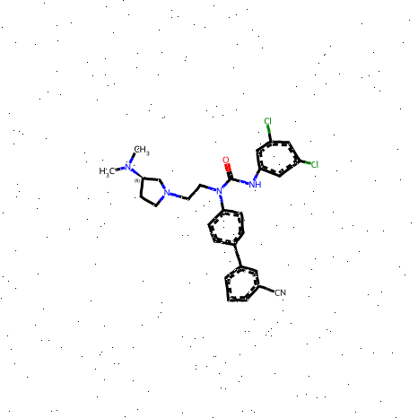 CN(C)[C@@H]1CCN(CCN(C(=O)Nc2cc(Cl)cc(Cl)c2)c2ccc(-c3cccc(C#N)c3)cc2)C1